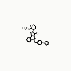 CCC1OCCCC1n1nc2c3ccccc3n(Cc3ccc(-n4cccn4)cc3)nc-2c1=O